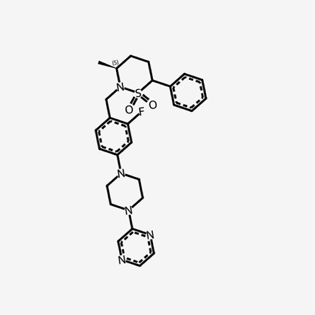 C[C@H]1CCC(c2ccccc2)S(=O)(=O)N1Cc1ccc(N2CCN(c3cnccn3)CC2)cc1F